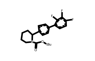 CC(C)(C)OC(=O)N1CCCCC1c1ccc(-c2ccc(F)c(F)c2F)cc1